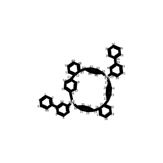 c1ccc(-c2cccc(N3c4ccc(cc4)-c4ccccc4-c4ccc(cc4)N(c4cccc(-c5ccccc5)c4)c4ccc(cc4)-c4ccccc4-c4ccc3cc4)c2)cc1